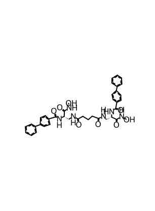 O=C(CCCC(=O)NC[C@H](NC(=O)c1ccc(-c2ccccc2)cc1)C(=O)NO)NC[C@H](NC(=O)c1ccc(-c2ccccc2)cc1)C(=O)NO